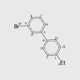 CCc1ccc(-c2cccc(Br)c2)cc1